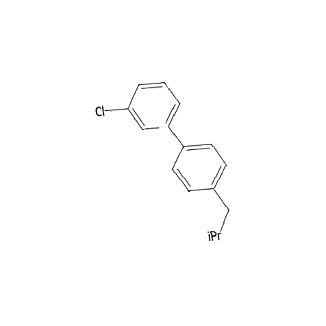 CC(C)Cc1ccc(-c2cccc(Cl)c2)cc1